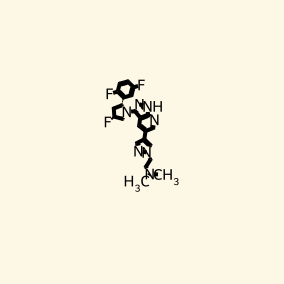 CN(C)CCn1cc(-c2cnc3[nH]nc(N4C[C@@H](F)C[C@@H]4c4cc(F)ccc4F)c3c2)cn1